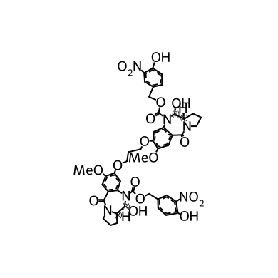 COc1cc2c(cc1OCCCOc1cc3c(cc1OC)C(=O)N1CCC[C@H]1[C@H](O)N3C(=O)OCc1ccc(O)c([N+](=O)[O-])c1)N(C(=O)OCc1ccc(O)c([N+](=O)[O-])c1)[C@H](O)[C@H]1CCCN1C2=O